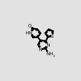 Nc1ncc(-c2ccc(=O)[nH]c2)c(-c2cccs2)n1